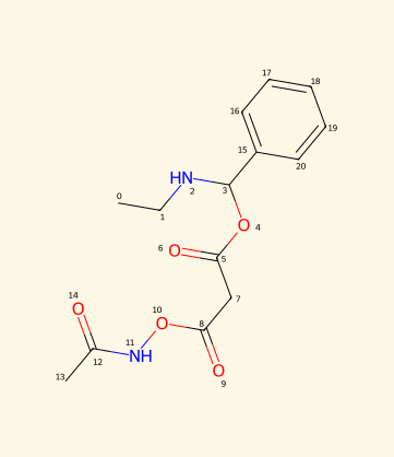 CCNC(OC(=O)CC(=O)ONC(C)=O)c1ccccc1